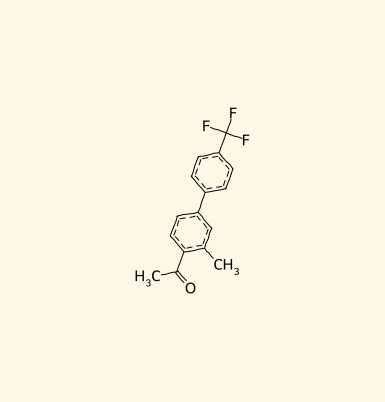 CC(=O)c1ccc(-c2ccc(C(F)(F)F)cc2)cc1C